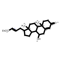 CCOC(=O)/C=C/CC1CCC2C3C(O)CC4=CC(=O)CCC4(C)C3CCC12C